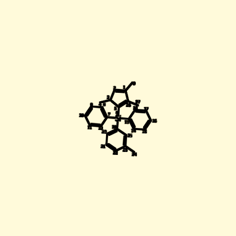 CC1=CC(C)C([Si](c2ccccc2)(c2ccccc2)c2cccc(C)c2)=C1C